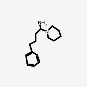 NC(CCCc1ccccc1)N1CCCCC1